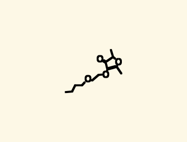 CCCCOCCOC1=C(C)OC(C)C1=O